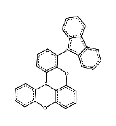 c1ccc2c(c1)Oc1cccc3c1B2c1cccc(-n2c4ccccc4c4ccccc42)c1O3